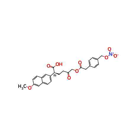 COc1ccc2cc([C@H](CCC(=O)COC(=O)Cc3ccc(CO[N+](=O)[O-])cc3)C(=O)O)ccc2c1